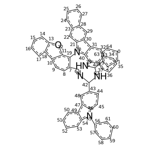 c1ccc(C2NC(c3ccc4c(oc5ccccc54)c3-n3c4cc5ccccc5cc4c4cc5ccccc5cc43)=NC(c3ccc4c(c3)c3ccccc3n4-c3ccccc3)N2)cc1